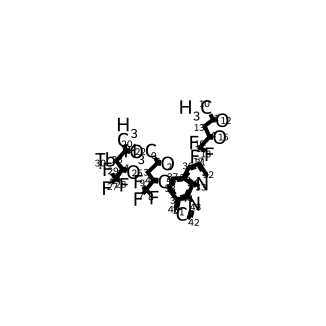 CC(=O)CC(=O)C(F)(F)F.CC(=O)CC(=O)C(F)(F)F.CC(=O)CC(=O)C(F)(F)F.[Tb].c1cnc2c(c1)ccc1cccnc12